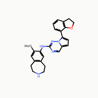 COc1cc2c(cc1Nc1ncc3ccc(-c4cccc5c4OCC5)n3n1)CCNCC2